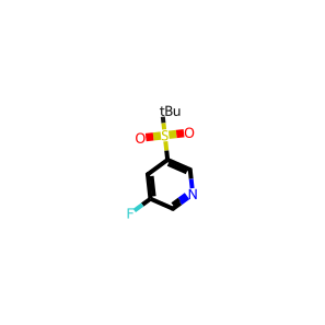 CC(C)(C)S(=O)(=O)c1cncc(F)c1